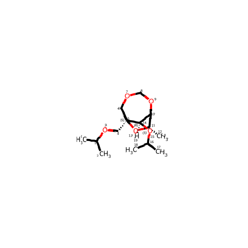 CC(C)OC[C@@]12COCOC([C@H](C)O1)[C@H]2OC(C)C